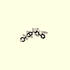 [2H]C([2H])(C1CCOCC1)N1C[C@H]2CC(Nc3nnc(-c4ccccc4OC)cc3C(F)(F)F)C[C@H]2C1